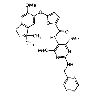 COc1cc2c(cc1Oc1ccc(C(=O)Nc3c(OC)nc(NCc4ccccn4)nc3OC)o1)[Si](C)(C)CC2